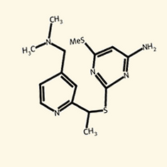 CSc1cc(N)nc(SC(C)c2cc(CN(C)C)ccn2)n1